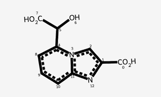 O=C(O)c1cn2c(C(O)C(=O)O)cccc2n1